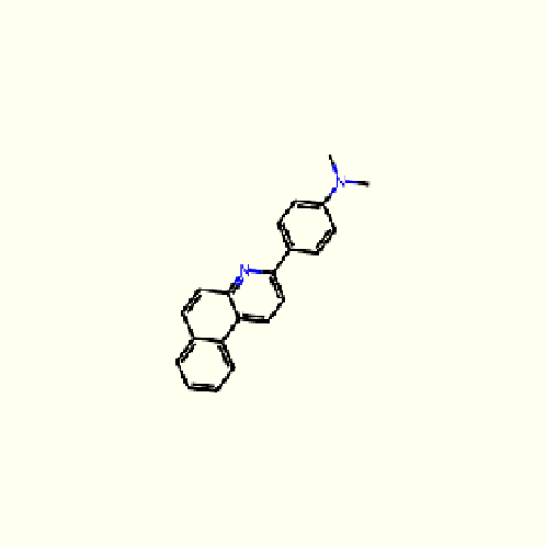 CN(C)c1ccc(-c2ccc3c(ccc4ccccc43)n2)cc1